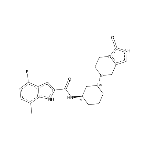 Cc1ccc(F)c2cc(C(=O)N[C@@H]3CCC[C@@H](N4CCn5c(c[nH]c5=O)C4)C3)[nH]c12